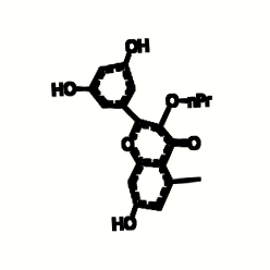 CCCOc1c(-c2cc(O)cc(O)c2)oc2cc(O)cc(C)c2c1=O